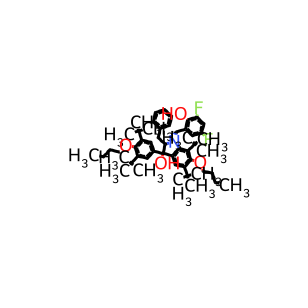 CCCCOc1c(C(C)(C)C)cc(C(O)(c2cc(C(C)(C)C)c(OCCCC)c(C(C)(C)C)c2)C(Cc2ccccc2)N=Cc2cc(F)cc(F)c2O)cc1C(C)(C)C